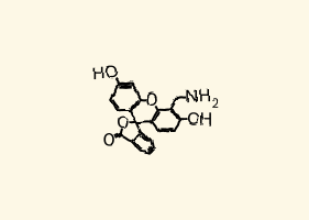 NCc1c(O)ccc2c1Oc1cc(O)ccc1C21OC(=O)c2ccccc21